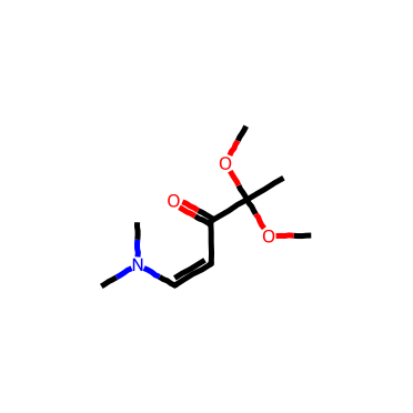 COC(C)(OC)C(=O)/C=C\N(C)C